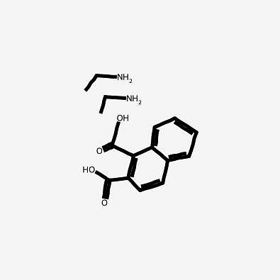 CCN.CCN.O=C(O)c1ccc2ccccc2c1C(=O)O